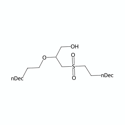 CCCCCCCCCCCCOC(CO)CS(=O)(=O)CCCCCCCCCCCC